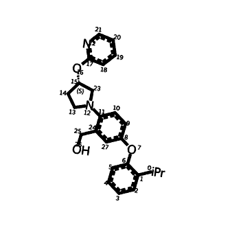 CC(C)c1ccccc1Oc1ccc(N2CC[C@H](Oc3ccccn3)C2)c(CO)c1